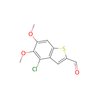 COc1cc2sc(C=O)cc2c(Cl)c1OC